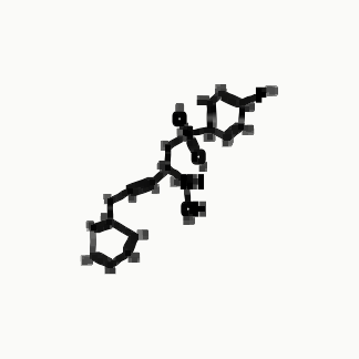 O=S(=O)(CC(C#CCc1ccccc1)NO)c1ccc(F)cc1